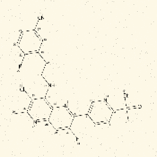 CCP(C)(=O)c1ccc(-c2nc3c(NCCc4cc(C#N)ccc4F)c(Cl)c(C)nc3cc2F)cn1